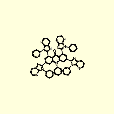 O=c1c2c(-c3nc4cccnc4n3-c3ccccc3)cc(-c3nc4cccnc4n3-c3ccccc3)cc2n(-c2ccccc2)c2cc(-c3nc4cccnc4n3-c3ccccc3)cc(-c3nc4cccnc4n3-c3ccccc3)c12